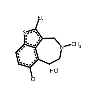 CCc1sc2ccc(Cl)c3c2c1CN(C)CC3.Cl